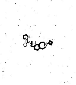 C[C@H]1CCCN1C(=O)NCc1ccc2c(c1)CCN(C1=CC=C1)CC2